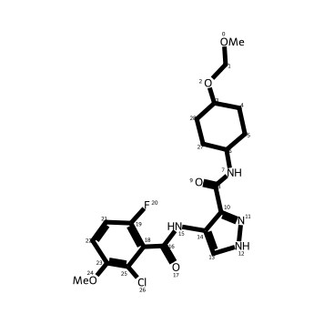 COCOC1CCC(NC(=O)c2n[nH]cc2NC(=O)c2c(F)ccc(OC)c2Cl)CC1